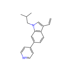 C=Cc1cn(CC(C)C)c2cc(-c3ccncc3)ccc12